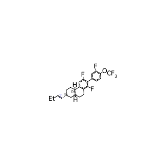 CC/C=C/[C@@H]1CC[C@@H]2c3cc(F)c(-c4ccc(OC(F)(F)F)c(F)c4)c(F)c3CC[C@@H]2C1